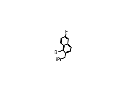 CC(C)Cc1ccc2cc(F)ccc2c1Br